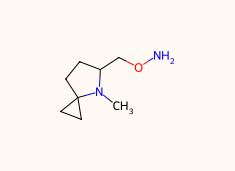 CN1C(CON)CCC12CC2